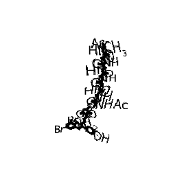 CC(=O)NC(CSC1CC(=O)N(CCCCN(Cc2cc(Br)cc(Br)c2N)[C@H]2CC[C@H](O)CC2)C1=O)C(=O)NCC(=O)NCC(=O)NCC(=O)NCC(=O)NCC(=O)NC(C)C(C)=O